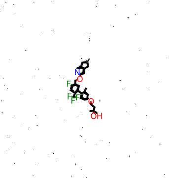 Cc1cc(OCCC(C)(C)O)ccc1-c1cc(COc2cc3c(cn2)C[C@@H](C)C3)c(F)cc1C(F)(F)F